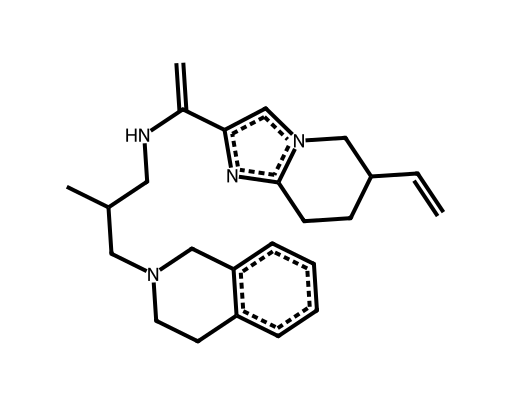 C=CC1CCc2nc(C(=C)NCC(C)CN3CCc4ccccc4C3)cn2C1